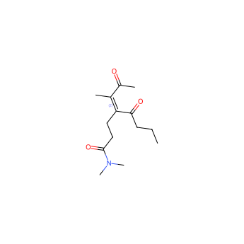 CCCC(=O)/C(CCC(=O)N(C)C)=C(/C)C(C)=O